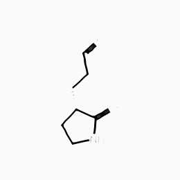 O=CCC[C@H]1CCNC1=O